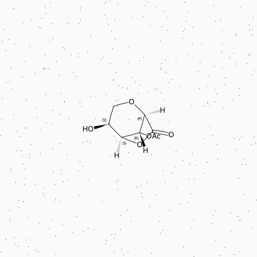 CC(=O)O[C@@H]1[C@H]2OC(=O)[C@@H]1OC[C@@H]2O